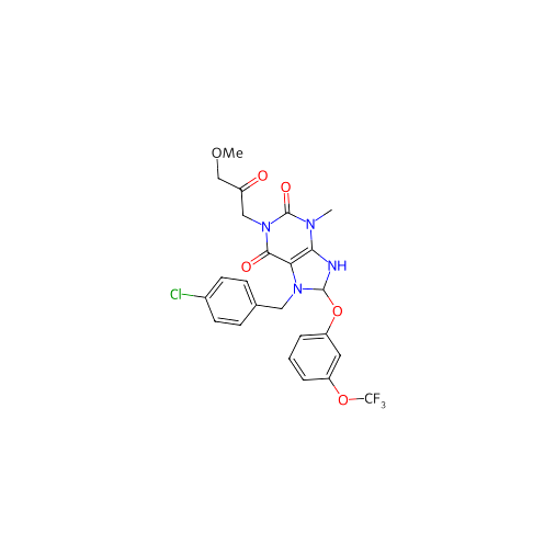 COCC(=O)Cn1c(=O)c2c(n(C)c1=O)NC(Oc1cccc(OC(F)(F)F)c1)N2Cc1ccc(Cl)cc1